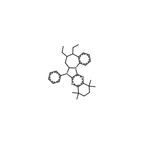 CCC1CC2N(c3ccccc3)c3nc4c(nc3N2c2ccccc2C1CC)C(C)(C)CCC4(C)C